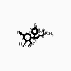 CC1CC(C#N)CCC(C(O)(CCCN(C)C)c2ccc(F)cc2)C1C=O